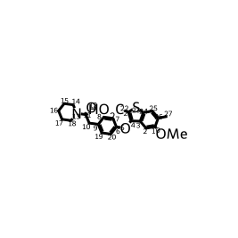 COc1cc2c(Oc3ccc(CC(=O)N4CCCCC4)cc3)c(C(=O)O)sc2cc1C